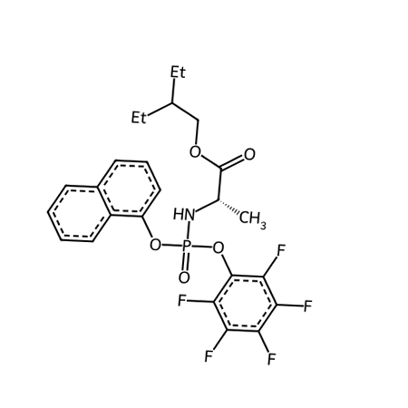 CCC(CC)COC(=O)[C@H](C)NP(=O)(Oc1c(F)c(F)c(F)c(F)c1F)Oc1cccc2ccccc12